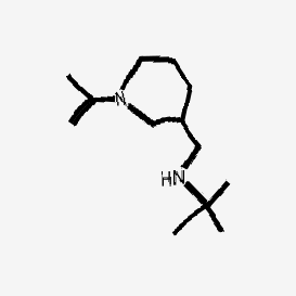 C=C(C)N1CCCC(CNC(C)(C)C)C1